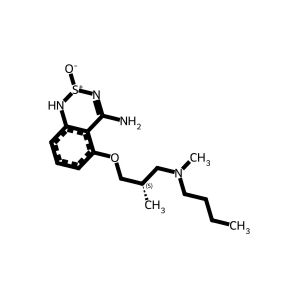 CCCCN(C)C[C@H](C)COc1cccc2c1C(N)=N[S+]([O-])N2